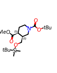 COC(=O)[C@H]1CCN(C(=O)OC(C)(C)C)C[C@H]1CO[Si](C)(C)C(C)(C)C